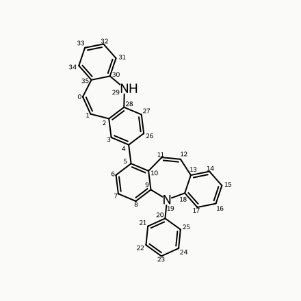 C1=Cc2cc(-c3cccc4c3C=Cc3ccccc3N4c3ccccc3)ccc2Nc2ccccc21